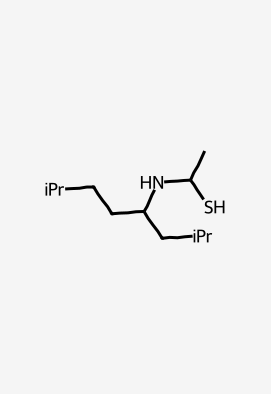 CC(C)CCC(CC(C)C)NC(C)S